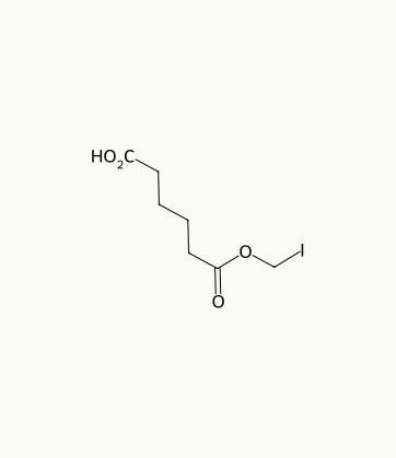 O=C(O)CCCCC(=O)OCI